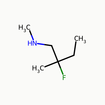 CCC(C)(F)CNC